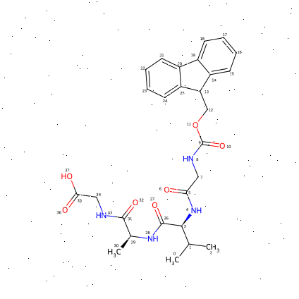 CC(C)[C@H](NC(=O)CNC(=O)OCC1c2ccccc2-c2ccccc21)C(=O)N[C@@H](C)C(=O)NCC(=O)O